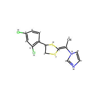 N#C/C(=C1/SCC(c2ccc(Cl)cc2Cl)S1)n1ccnc1